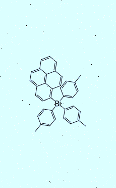 Cc1cc[c]([Bi]([c]2ccc(C)cc2)([c]2ccc(C)cc2)[c]2ccc3ccc4cccc5ccc2c3c45)cc1